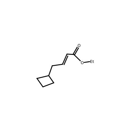 CCOC(=O)C=CCC1CCC1